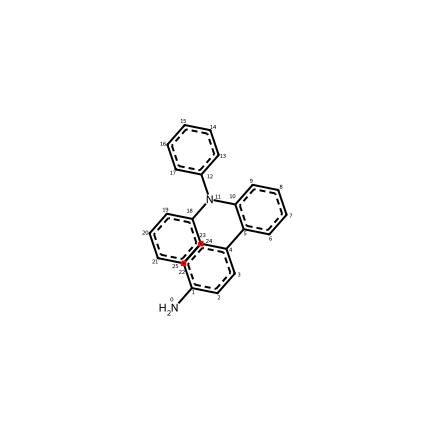 Nc1ccc(-c2ccccc2N(c2ccccc2)c2ccccc2)cc1